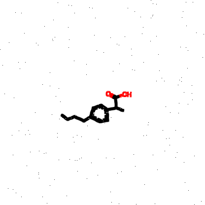 CCCCc1ccc(C(C)C(=O)O)cc1